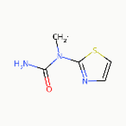 [CH2]N(C(N)=O)c1nccs1